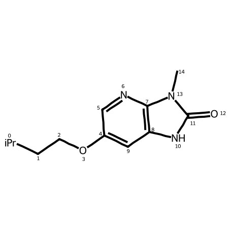 CC(C)CCOc1cnc2c(c1)[nH]c(=O)n2C